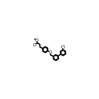 COC(=O)CCc1ccc(OCc2cccc(-c3cccc(Cl)c3)c2)cc1